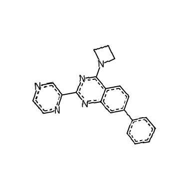 c1ccc(-c2ccc3c(N4CCC4)nc(-c4cnccn4)nc3c2)cc1